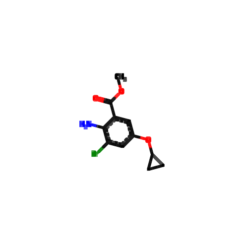 COC(=O)c1cc(OC2CC2)cc(Br)c1N